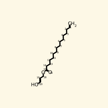 C=CCCCCCCCCCCCCCC(=O)OCC=CO